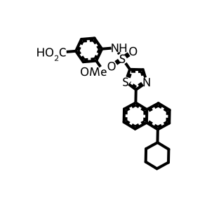 COc1cc(C(=O)O)ccc1NS(=O)(=O)c1cnc(-c2cccc3c(C4CCCCC4)cccc23)s1